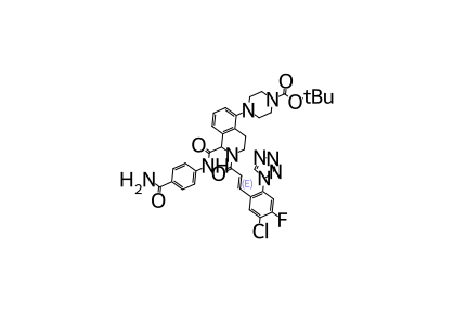 CC(C)(C)OC(=O)N1CCN(c2cccc3c2CCN(C(=O)/C=C/c2cc(Cl)c(F)cc2-n2cnnn2)C3C(=O)Nc2ccc(C(N)=O)cc2)CC1